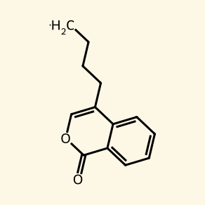 [CH2]CCCc1coc(=O)c2ccccc12